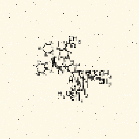 CC(=O)Nc1ccc2c(c1)C(C1CCCCC1)=NN(Cc1ccccc1)C(=O)N2c1ccc(N=C(NC(=O)OC(C)(C)C)NC(=O)OC(C)(C)C)cc1